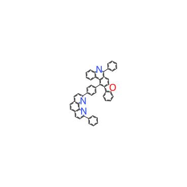 c1ccc(-c2ccc3ccc4ccc(-c5ccc(-c6c7c(cc8c(-c9ccccc9)nc9ccccc9c68)oc6ccccc67)cc5)nc4c3n2)cc1